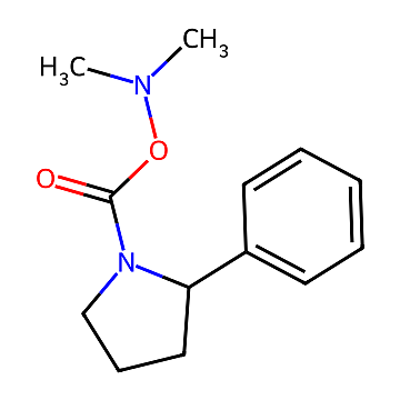 CN(C)OC(=O)N1CCCC1c1ccccc1